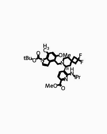 COC(=O)c1ccc([C@@H]2CC3(CCN2Cc2c(OC)cc(C)c4c2ccn4C(=O)OC(C)(C)C)CC(F)(F)C3)c(NC(C)C)n1